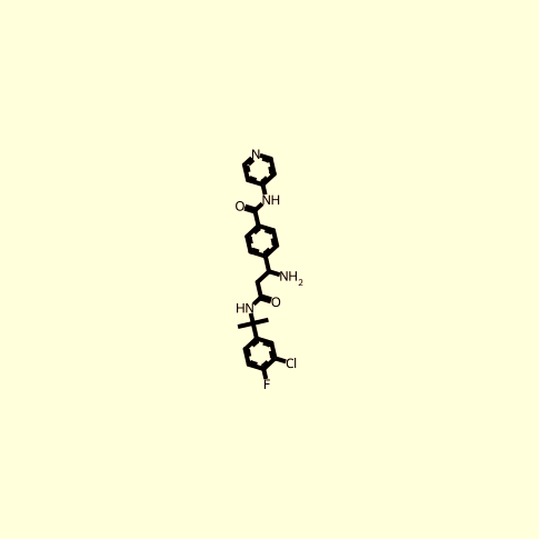 CC(C)(NC(=O)CC(N)c1ccc(C(=O)Nc2ccncc2)cc1)c1ccc(F)c(Cl)c1